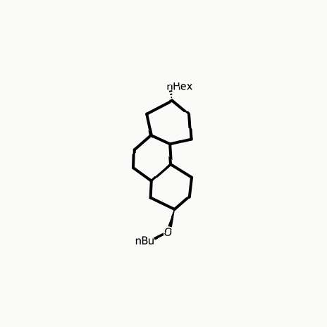 CCCCCC[C@@H]1CCC2C(CCC3C[C@H](OCCCC)CCC32)C1